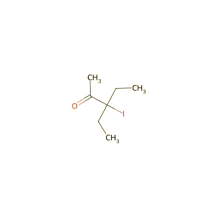 CCC(I)(CC)C(C)=O